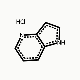 Cl.c1cnc2cc[nH]c2c1